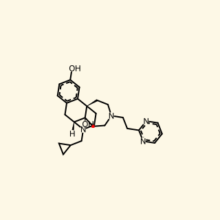 Oc1ccc2c(c1)[C@@]13CCN(CCc4ncccn4)CC[C@@]1(O)[C@@H](C2)N(CC1CC1)CC3